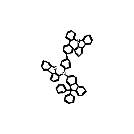 c1ccc(C2(c3ccccc3)c3ccccc3-c3ccc(N(c4ccc(-c5ccc(-c6ccccc6-n6c7ccccc7c7ccccc76)cc5)cc4)c4cccc5c4sc4ccccc45)cc32)cc1